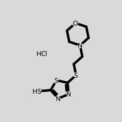 Cl.Sc1nnc(SCCN2CCOCC2)s1